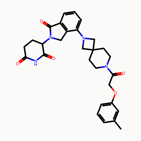 Cc1cccc(OCC(=O)N2CCC3(CC2)CN(c2cccc4c2CN(C2CCC(=O)NC2=O)C4=O)C3)c1